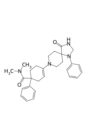 CN(C)C(=O)C1(c2ccccc2)CC=C(N2CCC3(CC2)C(=O)NCN3c2ccccc2)CC1